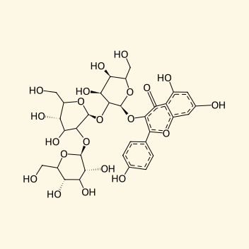 O=c1c(O[C@@H]2OC(CO)[C@H](O)[C@H](O)C2O[C@@H]2OC(CO)[C@@H](O)C(O)C2O[C@@H]2OC(CO)[C@@H](O)C(O)[C@H]2O)c(-c2ccc(O)cc2)oc2cc(O)cc(O)c12